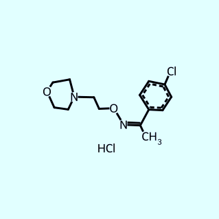 CC(=NOCCN1CCOCC1)c1ccc(Cl)cc1.Cl